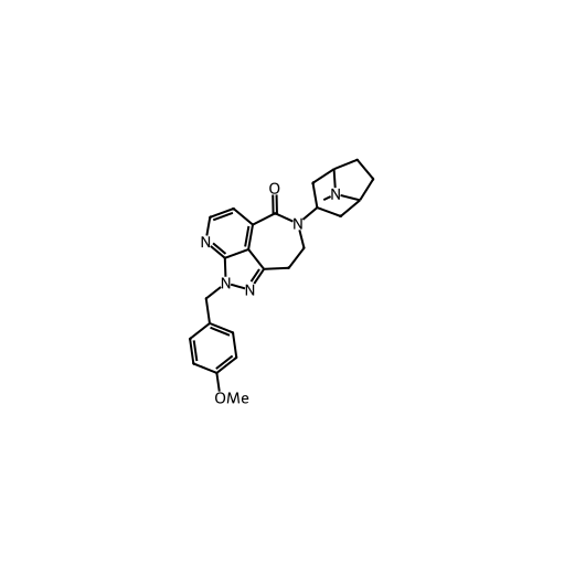 COc1ccc(Cn2nc3c4c(ccnc42)C(=O)N(C2CC4CCC(C2)N4C)CC3)cc1